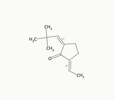 C/C=C1\CC/C(=C/C(C)(C)C)C1=O